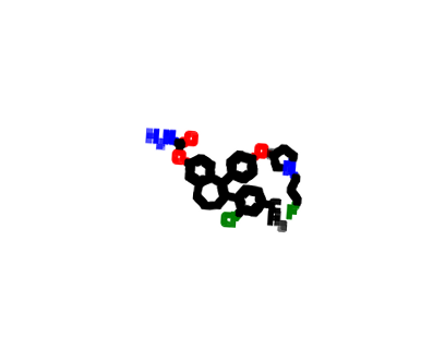 Cc1ccc(C2=C(c3ccc(O[C@H]4CCN(CCCF)C4)cc3)c3ccc(OC(N)=O)cc3CCC2)c(Cl)c1